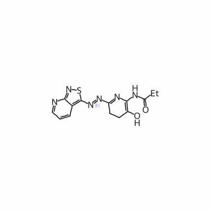 CCC(=O)NC1=C(O)CCC(/N=N/c2snc3ncccc23)=N1